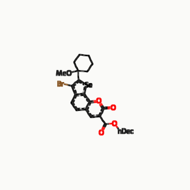 CCCCCCCCCCOC(=O)c1cc2ccc3c(Br)c(C4(OC)CCCCC4)[se]c3c2oc1=O